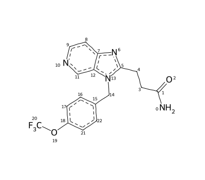 NC(=O)CCc1nc2ccncc2n1Cc1ccc(OC(F)(F)F)cc1